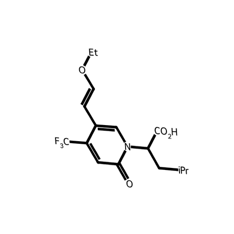 CCOC=Cc1cn(C(CC(C)C)C(=O)O)c(=O)cc1C(F)(F)F